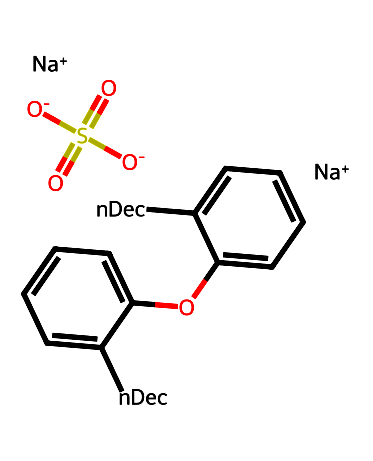 CCCCCCCCCCc1ccccc1Oc1ccccc1CCCCCCCCCC.O=S(=O)([O-])[O-].[Na+].[Na+]